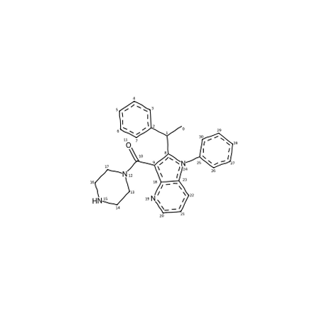 CC(c1ccccc1)c1c(C(=O)N2CCNCC2)c2ncccc2n1-c1ccccc1